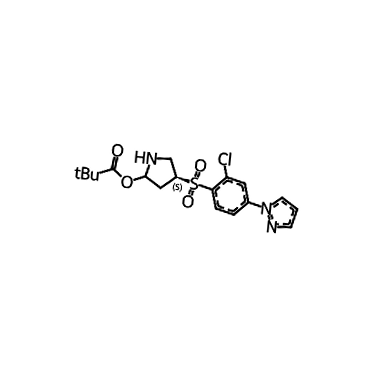 CC(C)(C)C(=O)OC1C[C@H](S(=O)(=O)c2ccc(-n3cccn3)cc2Cl)CN1